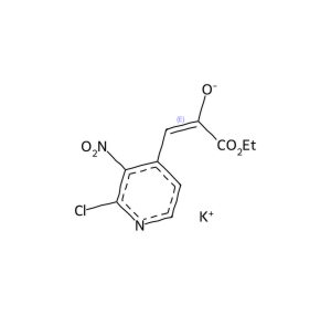 CCOC(=O)/C([O-])=C\c1ccnc(Cl)c1[N+](=O)[O-].[K+]